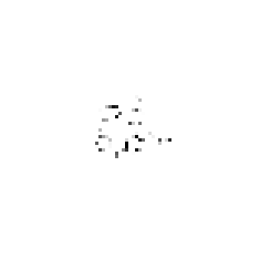 C=CC(=O)Nc1ccc(C(=O)N2CCC(Nc3ncc(Br)cn3)C2)cc1N1CCC(N(C)C)CC1